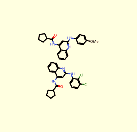 COc1ccc(Nc2cc(NC(=O)C3CCCC3)c3ccccc3n2)cc1.O=C(Nc1cc(Nc2cccc(Cl)c2Cl)nc2ccccc12)C1CCCC1